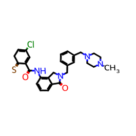 CN1CCN(Cc2cccc(CN3Cc4c(NC(=O)C5=CC(Cl)=CCC5=S)cccc4C3=O)c2)CC1